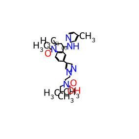 CC(=O)N1c2ccc(-c3cnn(CCN(CC(C)(C)C)C(=O)O)c3)cc2[C@H](Nc2cc(C)ccn2)C[C@@H]1C